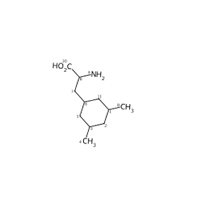 CC1CC(C)CC(CC(N)C(=O)O)C1